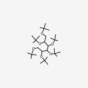 CC(C)(C)OCC(OC(C)(C)C)C(OC(C)(C)C)C(OC(C)(C)C)C(COC(C)(C)C)OC(C)(C)C